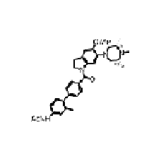 COc1cc2c(cc1N1C[C@@H](C)N(C)[C@@H](C)C1)N(C(=O)c1ccc(-c3ccc(NC(C)=O)cc3C)cc1)CC2